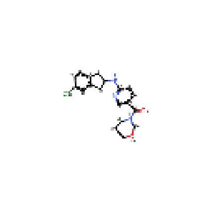 O=C(c1ccc(NC2Cc3ccc(Cl)cc3C2)nc1)N1CCCOC1